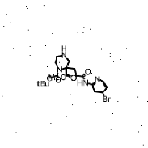 COC(=O)C1(CCC(=O)Nc2cc(Br)ccn2)CNCCN1C(=O)OC(C)(C)C